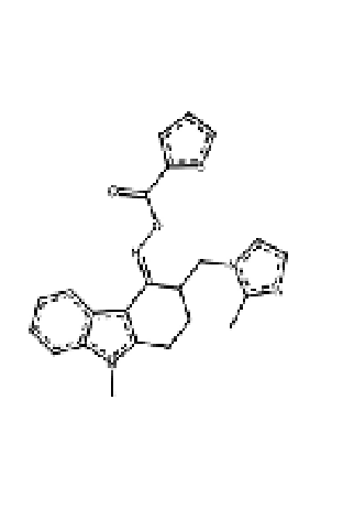 Cc1nccn1CC1CCc2c(c3ccccc3n2C)C1=NOC(=O)c1cccs1